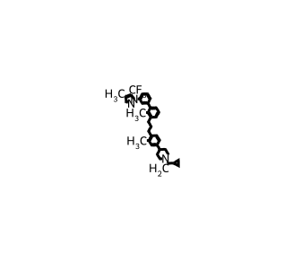 C=C(C1CC1)N1CCC(c2ccc(CCCc3cccc(-c4cccc(-n5ncc(C)c5C(F)(F)F)c4)c3C)c(C)c2)CC1